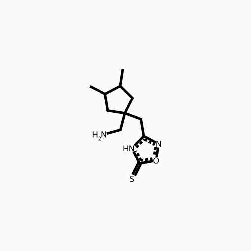 CC1CC(CN)(Cc2noc(=S)[nH]2)CC1C